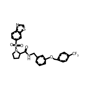 O=C(NCc1cccc(OCc2ccc(C(F)(F)F)cc2)c1)C1CCCN1S(=O)(=O)c1ccc2ncsc2c1